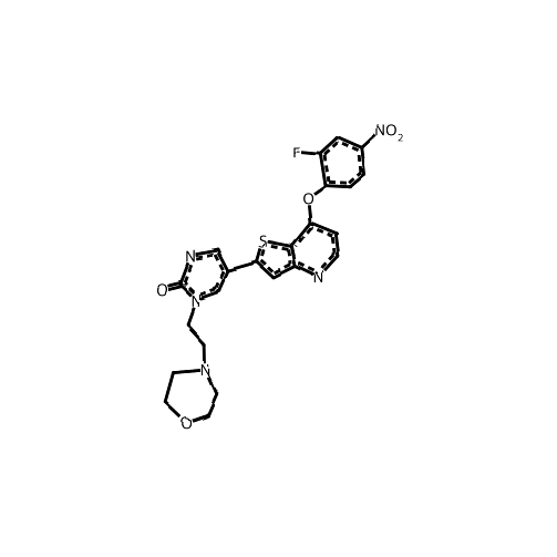 O=c1ncc(-c2cc3nccc(Oc4ccc([N+](=O)[O-])cc4F)c3s2)cn1CCN1CCOCC1